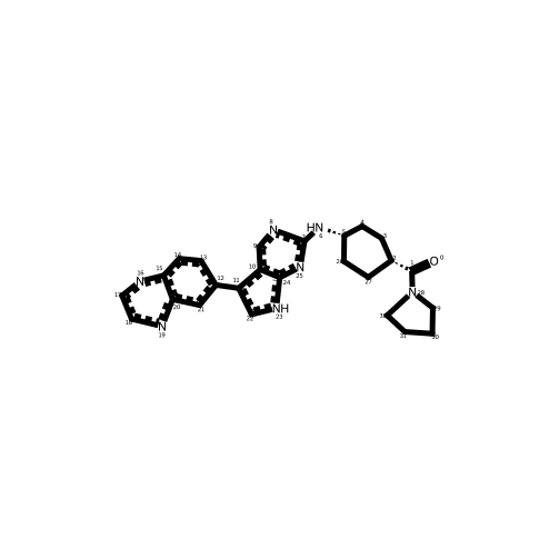 O=C([C@H]1CC[C@@H](Nc2ncc3c(-c4ccc5nccnc5c4)c[nH]c3n2)CC1)N1CCCC1